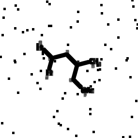 CCC(CC)CC(C)COC(C)=O